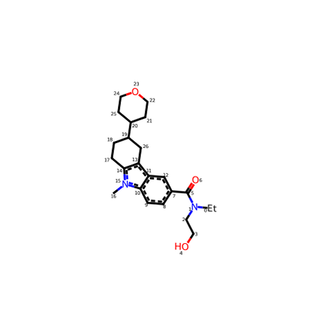 CCN(CCO)C(=O)c1ccc2c(c1)c1c(n2C)CCC(C2CCOCC2)C1